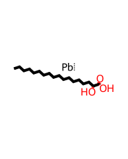 CCCCCCCCCCCCCCCCC(O)C(=O)O.[Pb]